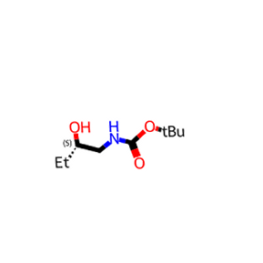 CC[C@H](O)CNC(=O)OC(C)(C)C